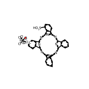 O=S(=O)(O)c1cccc2c3nc4nc(nc5[nH]c(nc6nc(nc([nH]3)c12)-c1ccccc1-6)c1ccccc51)-c1ccccc1-4.[Cl][Ni]([Cl])([Cl])([Cl])([Cl])([Cl])([Cl])[Cl]